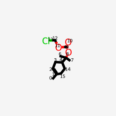 CC1=CCC(C(C)(C)OC(=O)OCCl)CC1